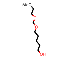 COCCOCOCCCCCO